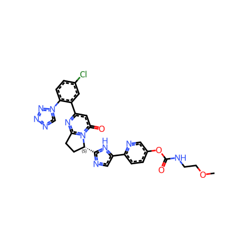 COCCNC(=O)Oc1ccc(-c2cnc([C@@H]3CCc4nc(-c5cc(Cl)ccc5-n5cnnn5)cc(=O)n43)[nH]2)nc1